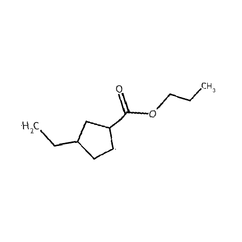 [CH2]CC1C[CH]C(C(=O)OCCC)C1